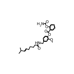 COc1cc(CNC(=O)CCCC/C=C/C(C)C)ccc1OC(=O)c1ccccc1OC(N)=O